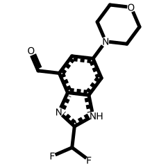 O=Cc1cc(N2CCOCC2)cc2[nH]c(C(F)F)nc12